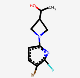 CC(O)C1CN(c2ccc(Br)c(F)n2)C1